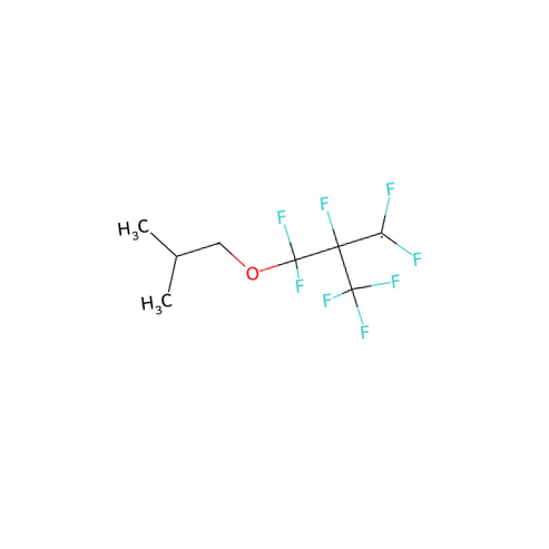 CC(C)COC(F)(F)C(F)([C](F)F)C(F)(F)F